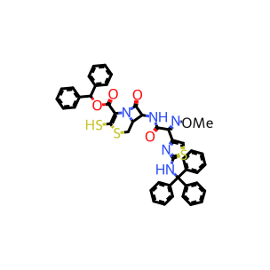 CON=C(C(=O)NC1C(=O)N2C(C(=O)OC(c3ccccc3)c3ccccc3)=C(S)SCC12)c1csc(NC(c2ccccc2)(c2ccccc2)c2ccccc2)n1